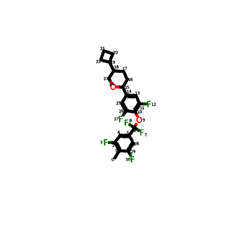 Cc1c(F)cc(C(F)(F)Oc2c(F)cc(C3CCC(C4CCC4)CO3)cc2F)cc1F